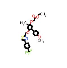 CCOC(=O)COc1cc(-c2ccc(OC)cc2)c(OCc2nc(-c3ccc(C(F)(F)F)cc3)cs2)cc1C